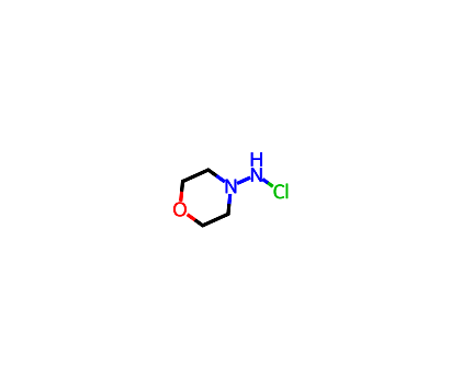 ClNN1CCOCC1